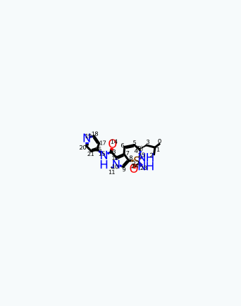 CC(C)C[C@@H]1C=Cc2c(cn(C)c2C(=O)Nc2ccncc2)S(=N)(=O)N1